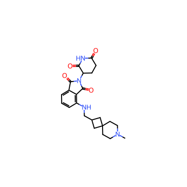 CN1CCC2(CC1)CC(CNc1cccc3c1C(=O)N(C1CCC(=O)NC1=O)C3=O)C2